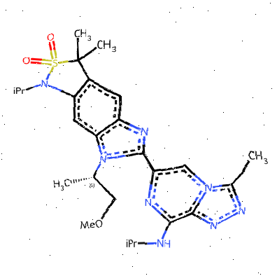 COC[C@H](C)n1c(-c2cn3c(C)nnc3c(NC(C)C)n2)nc2cc3c(cc21)N(C(C)C)S(=O)(=O)C3(C)C